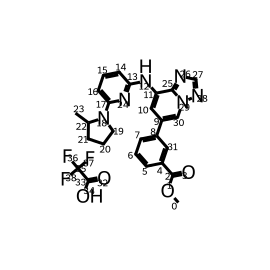 COC(=O)c1cccc(-c2cc(Nc3cccc(N4CCCC4C)n3)c3ncnn3c2)c1.O=C(O)C(F)(F)F